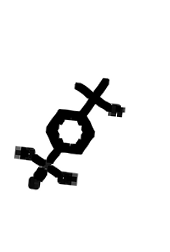 CC(C)C(C)(C)c1ccc(P(=O)(O)O)cc1